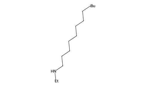 CCNCCCCCCCCC(C)CC